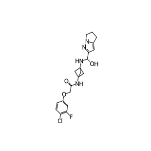 O=C(COc1ccc(Cl)c(F)c1)NC12CC(NC(O)c3cc4n(n3)CCC4)(C1)C2